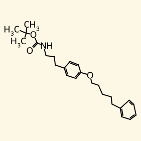 CC(C)(C)OC(=O)NCCCc1ccc(OCCCCCc2ccccc2)cc1